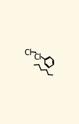 CCCCCC.Cc1ccccc1.ClCCl